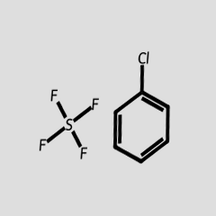 Clc1ccccc1.FS(F)(F)F